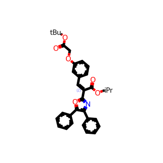 CC(C)OC(=O)/C(=C\c1cccc(OCC(=O)OC(C)(C)C)c1)c1nc(-c2ccccc2)c(-c2ccccc2)o1